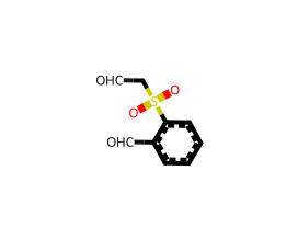 O=CCS(=O)(=O)c1ccccc1C=O